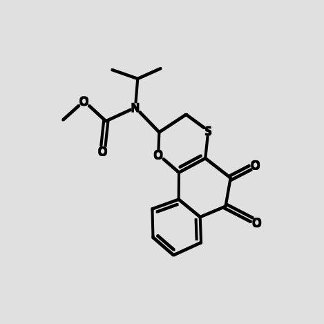 COC(=O)N(C(C)C)C1CSC2=C(O1)c1ccccc1C(=O)C2=O